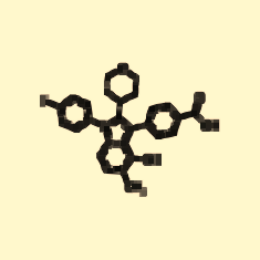 Cc1ccc2c(c1O)c(-c1ccc(C(=O)O)cc1)c(C1CCOCC1)n2-c1ccc(F)cc1